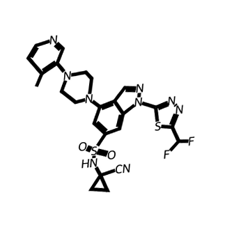 Cc1ccncc1N1CCN(c2cc(S(=O)(=O)NC3(C#N)CC3)cc3c2cnn3-c2nnc(C(F)F)s2)CC1